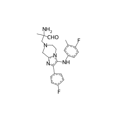 Cc1cc(Nc2c(-c3ccc(F)cc3)nc3n2CCN(CC(C)(N)C=O)C3)ccc1F